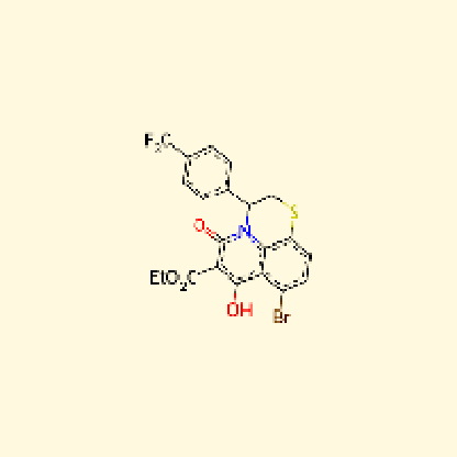 CCOC(=O)c1c(O)c2c(Br)ccc3c2n(c1=O)C(c1ccc(C(F)(F)F)cc1)CS3